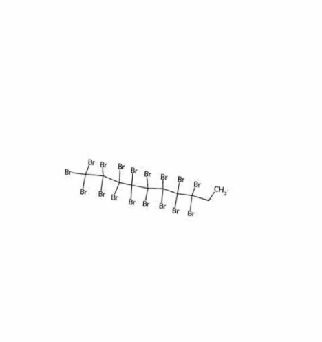 [CH2]CC(Br)(Br)C(Br)(Br)C(Br)(Br)C(Br)(Br)C(Br)(Br)C(Br)(Br)C(Br)(Br)C(Br)(Br)Br